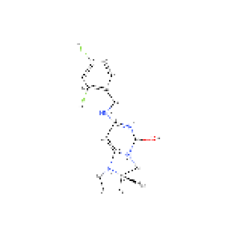 O=c1nc(NCc2ccc(F)cc2F)cc2n1C[C@@H]1CCCN21